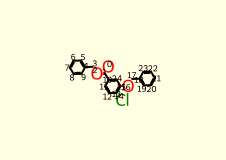 O=C(OCc1ccccc1)c1ccc(Cl)c(OCc2ccccc2)c1